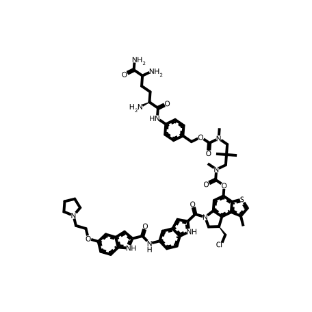 Cc1csc2c(OC(=O)N(C)CC(C)(C)CN(C)C(=O)OCc3ccc(NC(=O)[C@@H](N)CCC(N)C(N)=O)cc3)cc3c(c12)[C@@H](CCl)CN3C(=O)c1cc2cc(NC(=O)c3cc4cc(OCCN5CCCC5)ccc4[nH]3)ccc2[nH]1